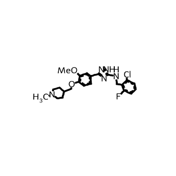 COc1cc(-c2n[nH]c(NCc3c(F)cccc3Cl)n2)ccc1OCC1CCN(C)CC1